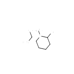 CCC1CCCCN1C.NCC(=O)O